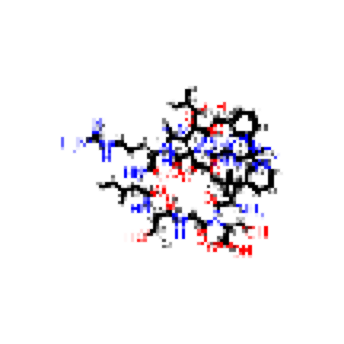 CCC(C)[C@H](NC(=O)[C@@H](CCCNC(=N)N)NC(=O)[C@](C(=O)C(N)CC(C)(C)C)(C(C(=O)[C@@H](N)Cc1cccc(N)c1)C(C)C)N(C(=O)[C@H](N)CC(C)(C)C)C(=O)[C@@H](N)[C@H](O)C(C)C)C(=O)N[C@H](C(=O)NCC(=O)N(C(=O)[C@@H](N)Cc1cccnc1)[C@@H](CO)C(=O)O)[C@H](C)O